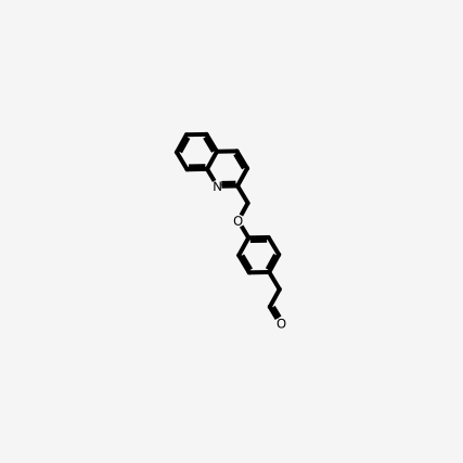 O=CCc1ccc(OCc2ccc3ccccc3n2)cc1